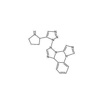 C1=NC2c3ccccc3-n3cncc3N2N1n1nncc1C1CCCN1